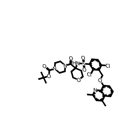 Cc1cc(C)c2cccc(OCc3c(Cl)ccc(S(=O)(=O)NC4(C(=O)N5CCN(C(=O)OC(C)(C)C)CC5)CCOCC4)c3Cl)c2n1